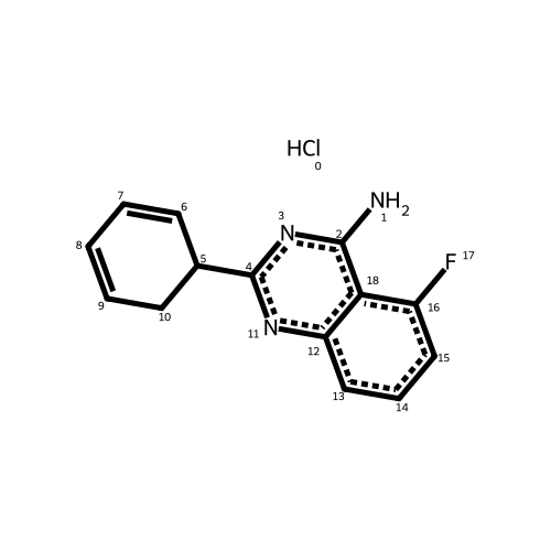 Cl.Nc1nc(C2C=CC=CC2)nc2cccc(F)c12